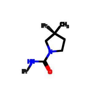 CC(C)NC(=O)N1CC[C@](C)(C(C)C)C1